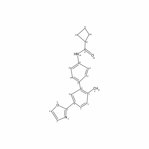 Cc1ccc(-c2ncco2)cc1-c1ccc(NC(=O)C2CCC2)cc1